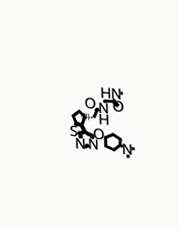 CNC(=O)CNC(=O)C[C@H]1CCc2sc3ncnc(OC4CCC(N(C)C)CC4)c3c21